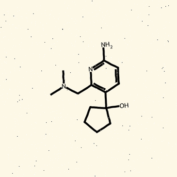 CN(C)Cc1nc(N)ccc1C1(O)CCCC1